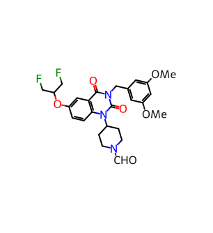 COc1cc(Cn2c(=O)c3cc(OC(CF)CF)ccc3n(C3CCN(C=O)CC3)c2=O)cc(OC)c1